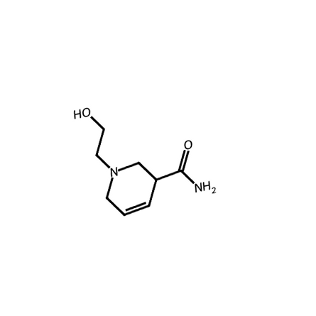 NC(=O)C1C=CCN(CCO)C1